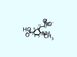 CNc1ccc(C(=O)O)cc1CC[N+](=O)[O-]